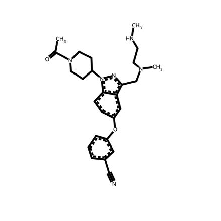 CNCCN(C)Cc1nn(C2CCN(C(C)=O)CC2)c2ccc(Oc3cccc(C#N)c3)cc12